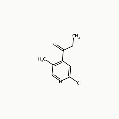 CCC(=O)c1cc(Cl)ncc1C